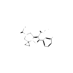 CC(C)(C)NC(=O)c1c(-c2cccc(F)c2)nn2c1CN(C(N)=O)CC21CC1